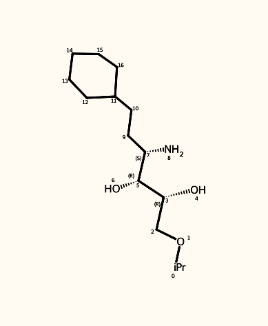 CC(C)OC[C@@H](O)[C@H](O)[C@@H](N)CCC1CCCCC1